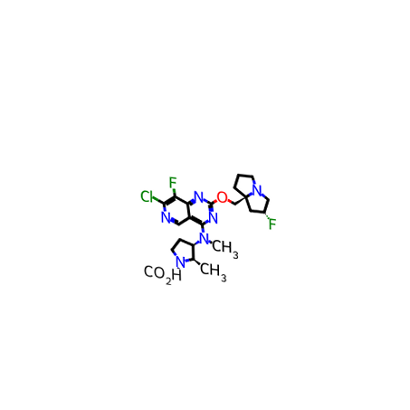 C[C@@H]1[C@H](N(C)c2nc(OC[C@@]34CCCN3C[C@H](F)C4)nc3c(F)c(Cl)ncc23)CCN1C(=O)O